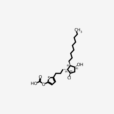 CCCCCCCCC[C@@H]1[C@@H](CCCc2ccc(OC(=O)O)s2)[C@H](Cl)C[C@H]1O